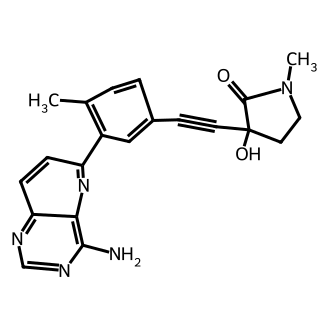 Cc1ccc(C#CC2(O)CCN(C)C2=O)cc1-c1ccc2ncnc(N)c2n1